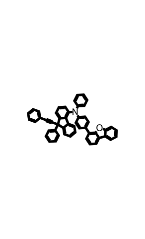 C(#CC1(c2ccccc2)c2ccccc2-c2c(N(c3ccccc3)c3ccc(-c4cccc5c4oc4ccccc45)cc3)cccc21)c1ccccc1